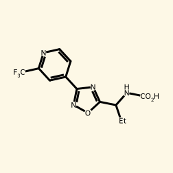 CCC(NC(=O)O)c1nc(-c2ccnc(C(F)(F)F)c2)no1